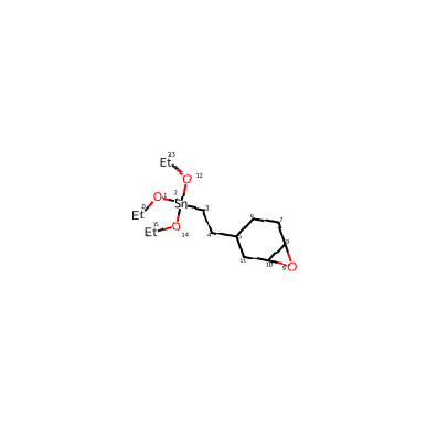 CC[O][Sn]([CH2]CC1CCC2OC2C1)([O]CC)[O]CC